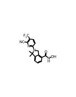 CC1(C)c2cccc(C(=O)NO)c2CN1c1ccc(C(F)(F)F)c(C#N)n1